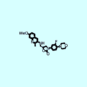 COc1ccc2cc(NC[C@H]3CN(c4ccc(N5CCOCC5)c(F)c4)C(=O)O3)c(C)nc2c1